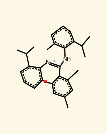 Cc1cc(C)c(/C(=N\c2c(C)cccc2C(C)C)Nc2c(C)cccc2C(C)C)c(C)c1